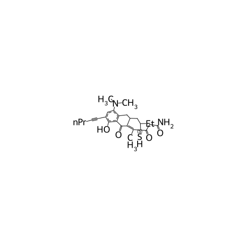 CCCC#Cc1cc(N(C)C)c2c(c1O)C(=O)C1=C(C)[C@](S)(C(=O)CC(N)=O)C(CC)CC1C2